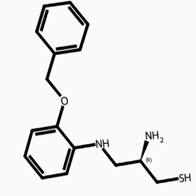 N[C@@H](CS)CNc1ccccc1OCc1ccccc1